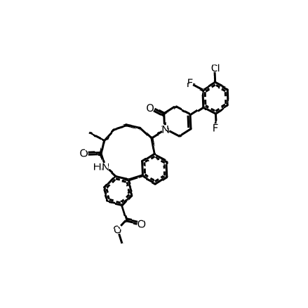 COC(=O)c1ccc2c(c1)-c1cccc(c1)C(N1CC=C(c3c(F)ccc(Cl)c3F)CC1=O)CCCC(C)C(=O)N2